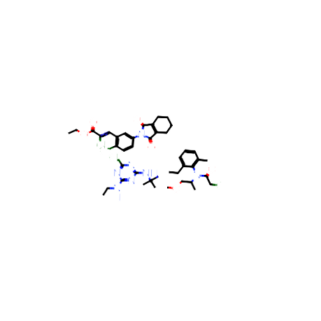 CCNc1nc(Cl)nc(NC(C)(C)C)n1.CCOC(=O)/C(Cl)=C/c1cc(N2C(=O)C3=C(CCCC3)C2=O)ccc1Cl.CCc1cccc(C)c1N(C(=O)CCl)C(C)COC